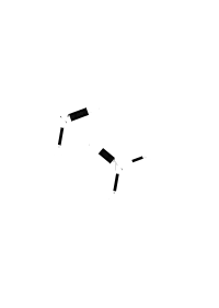 O=NO.O=[N+]([O-])O